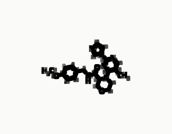 COc1ccc(CNC(=O)C2COCCN2c2nc(-n3ccnc3)ncc2C)cc1